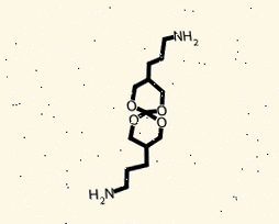 NCCCC1COC2(OC1)OCC(CCCN)CO2